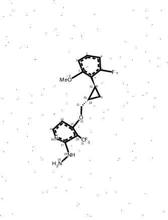 COc1cccc(F)c1[C@H]1C[C@@H]1COc1ccnc(NN)c1C(F)(F)F